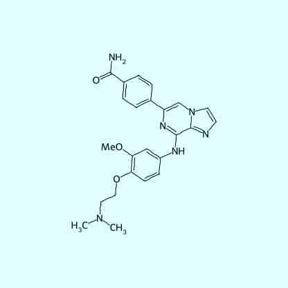 COc1cc(Nc2nc(-c3ccc(C(N)=O)cc3)cn3ccnc23)ccc1OCCN(C)C